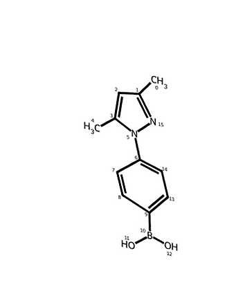 Cc1cc(C)n(-c2ccc(B(O)O)cc2)n1